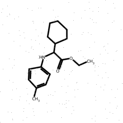 CCOC(=O)C(Nc1ccc(C)cc1)C1CCCCC1